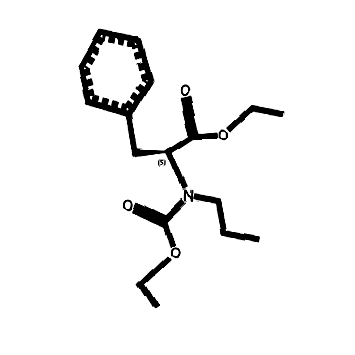 CCCN(C(=O)OCC)[C@@H](Cc1ccccc1)C(=O)OCC